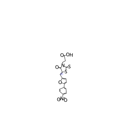 O=C(O)CCN1C(=O)/C(=C/c2ccc(-c3ccc([N+](=O)[O-])cc3)o2)SC1=S